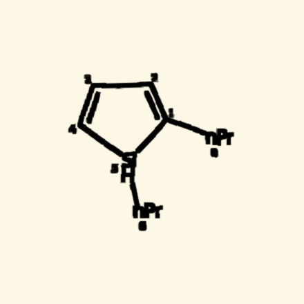 CCCC1=CC=C[SiH]1CCC